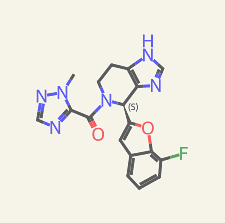 Cn1ncnc1C(=O)N1CCc2[nH]cnc2[C@H]1c1cc2cccc(F)c2o1